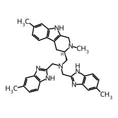 Cc1ccc2[nH]c(CN(Cc3nc4cc(C)ccc4[nH]3)C[C@H]3Cc4c([nH]c5cc(C)ccc45)CN3C)nc2c1